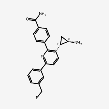 NC(=O)c1ccc(-c2nc(-c3cccc(CF)c3)ccc2[C@@H]2C[C@H]2N)cc1